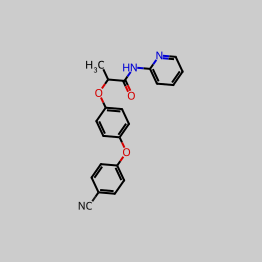 CC(Oc1ccc(Oc2ccc(C#N)cc2)cc1)C(=O)Nc1ccccn1